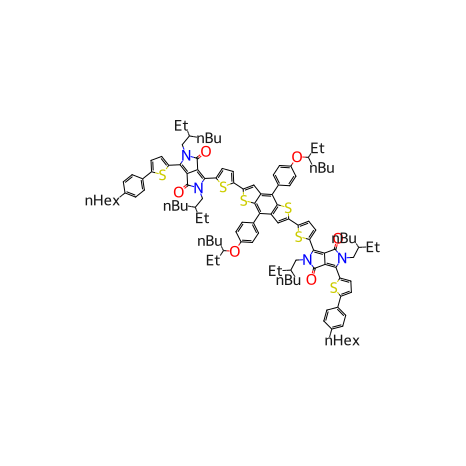 CCCCCCc1ccc(-c2ccc(C3=C4C(=O)N(CC(CC)CCCC)C(c5ccc(-c6cc7c(-c8ccc(OC(CC)CCCC)cc8)c8sc(-c9ccc(C%10=C%11C(=O)N(CC(CC)CCCC)C(c%12ccc(-c%13ccc(CCCCCC)cc%13)s%12)=C%11C(=O)N%10CC(CC)CCCC)s9)cc8c(-c8ccc(OC(CC)CCCC)cc8)c7s6)s5)=C4C(=O)N3CC(CC)CCCC)s2)cc1